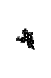 CC#C[C@]1([N+](=O)[O-])CC[C@H]2[C@@H]3CC[C@@]4(O)CC5(CCC4=C3[C@@H](c3ccc(NC)cc3)C[C@@]21C)OCCO5